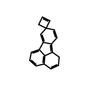 C1=Cc2cccc3c2C(=C2C=CC4(C=CC4)C=C23)C1